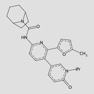 Cc1ccc(-c2nc(NC(=O)N3C4CCCC3CC4)ccc2-c2ccc(=O)n(C(C)C)c2)o1